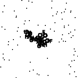 CN(C(=O)NCc1cccc(F)c1Cl)C(CNC(=O)CNC(=O)OC(C)(C)C)COC(=O)Nc1cc2cc(F)ccc2cn1